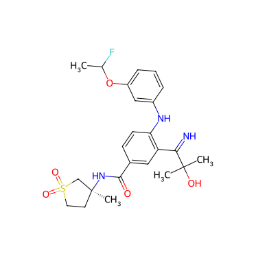 CC(F)Oc1cccc(Nc2ccc(C(=O)N[C@@]3(C)CCS(=O)(=O)C3)cc2C(=N)C(C)(C)O)c1